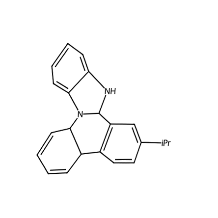 CC(C)c1ccc2c(c1)C1Nc3ccccc3N1C1C=CC=CC21